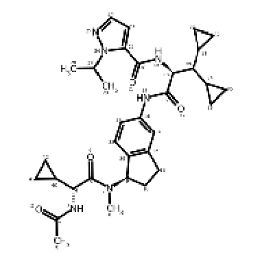 CC(=O)N[C@@H](C(=O)N(C)[C@@H]1CCc2cc(NC(=O)[C@@H](NC(=O)c3ccnn3C(C)C)C(C3CC3)C3CC3)ccc21)C1CC1